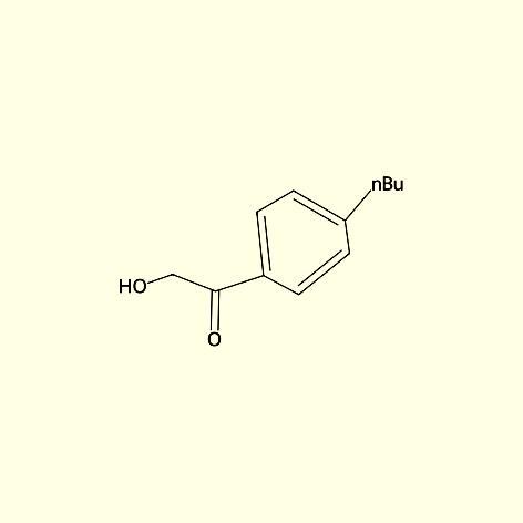 CCCCc1ccc(C(=O)CO)cc1